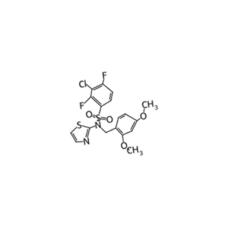 COc1ccc(CN(c2nccs2)S(=O)(=O)c2ccc(F)c(Cl)c2F)c(OC)c1